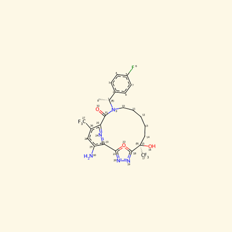 C[C@H](c1ccc(F)cc1)N1CCCCC[C@](O)(C(F)(F)F)c2nnc(o2)-c2nc(c(C(F)(F)F)cc2N)C1=O